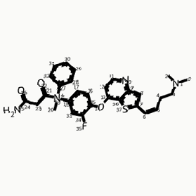 CN(C)CC/C=C\c1cc2nccc(Oc3ccc([N+](C)(C(=O)CC(N)=O)c4ccccc4)cc3F)c2s1